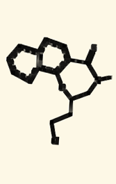 CN1CC(CCCl)Oc2c(ccc3ccccc23)C1=S